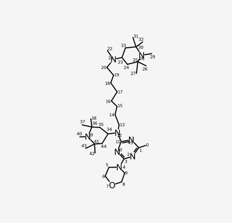 Cc1nc(N2CCOCC2)nc(N(CCCCCCCCN(C)C2CC(C)(C)N(C)C(C)(C)C2)C2CC(C)(C)N(C)C(C)(C)C2)n1